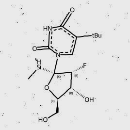 C[SiH](C)[C@@]1(n2cc(C(C)(C)C)c(=O)[nH]c2=O)O[C@H](CO)[C@@H](O)[C@H]1F